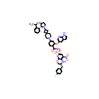 CC(C)c1ccccc1[C@@H]1CCCN1C1CC2(CCN(c3ccc(C(=O)NS(=O)(=O)c4cc([N+](=O)[O-])c5c(n4)OC[C@H](Cc4ccc(F)cc4)N5)c(Oc4cnc5[nH]ccc5c4)c3)CC2)C1